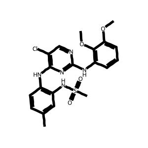 COc1cccc(Nc2ncc(Cl)c(Nc3ccc(C)cc3NS(C)(=O)=O)n2)c1OC